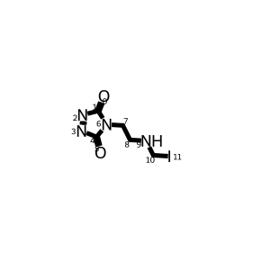 O=C1N=NC(=O)N1CCNCI